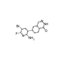 Nc1nc(F)c(Br)cc1-c1ccc2c(=O)[nH]ncc2c1